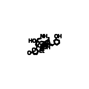 CC[C@H]1C=CC(=O)O[C@H]1/C=C/[C@](O)(CCN)[C@@H](C[C@@H](O)/C=C\C=C/[C@@H]1CCC[C@H](O)C1)OP(=O)(O)O